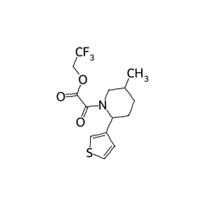 CC1CCC(c2ccsc2)N(C(=O)C(=O)OCC(F)(F)F)C1